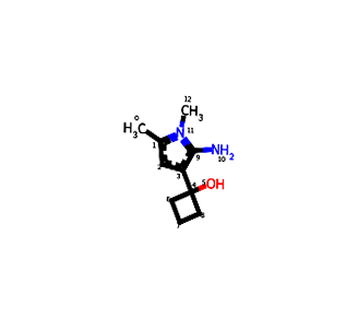 Cc1cc(C2(O)CCC2)c(N)n1C